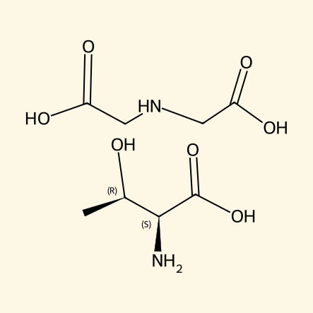 C[C@@H](O)[C@H](N)C(=O)O.O=C(O)CNCC(=O)O